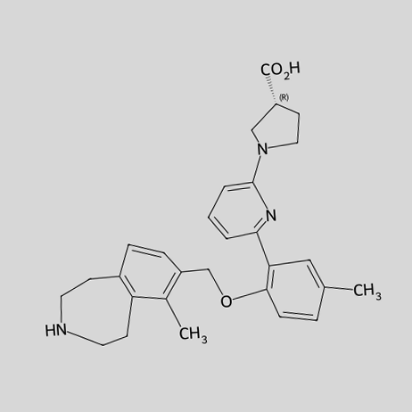 Cc1ccc(OCc2ccc3c(c2C)CCNCC3)c(-c2cccc(N3CC[C@@H](C(=O)O)C3)n2)c1